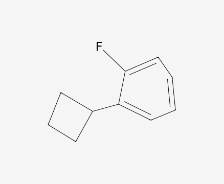 Fc1ccccc1C1CCC1